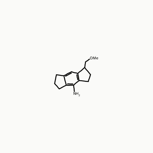 COCC1CCc2c1cc1c(c2N)CCC1